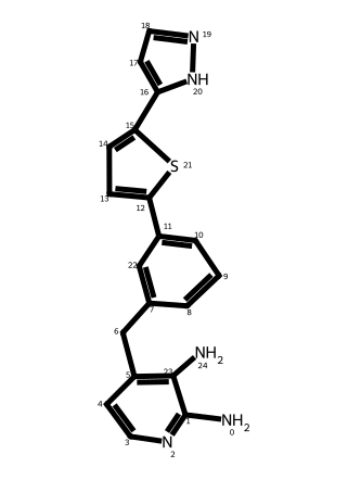 Nc1nccc(Cc2cccc(-c3ccc(-c4ccn[nH]4)s3)c2)c1N